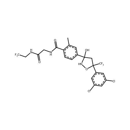 Cc1cc(C2(O)CC(c3cc(Cl)cc(Cl)c3)(C(F)(F)F)ON2)ccc1C(=O)NCC(=O)NCC(F)(F)F